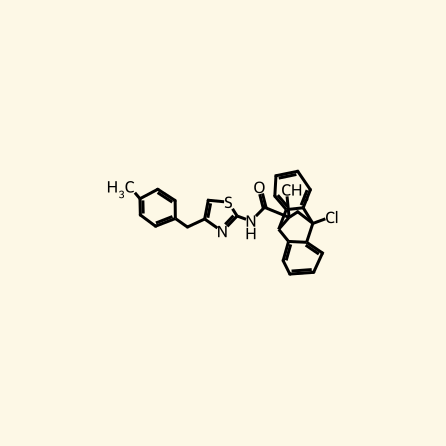 Cc1ccc(Cc2csc(NC(=O)C3(C)CC4(Cl)c5ccccc5C3c3ccccc34)n2)cc1